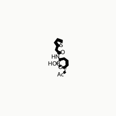 CC(=O)C[C@H]1C=CC[C@H](NC(=O)Cc2cccs2)B(O)O1